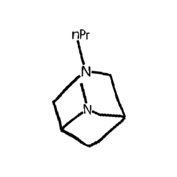 CCCN1CC2CC(C1)N2C